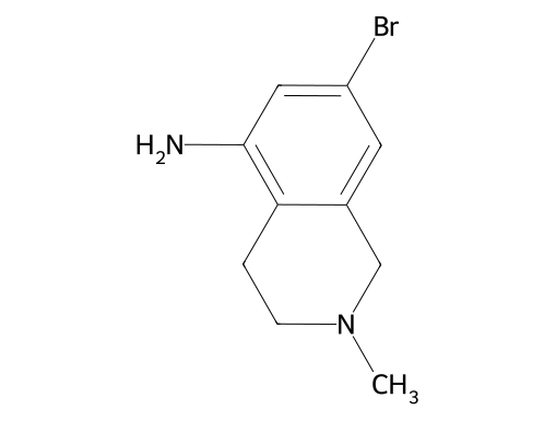 CN1CCc2c(N)cc(Br)cc2C1